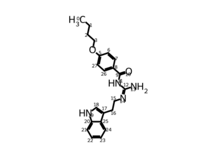 CCCCOc1ccc(C(=O)NC(N)=NCCc2c[nH]c3ccccc23)cc1